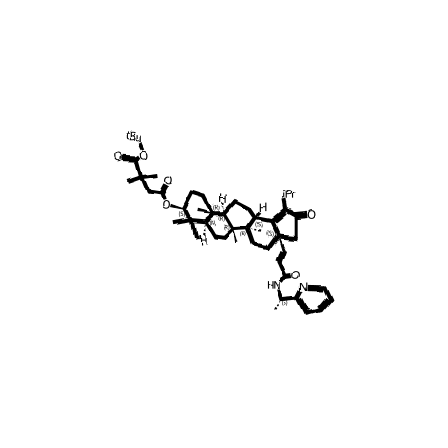 CC(C)C1=C2[C@H]3CC[C@@H]4[C@@]5(C)CC[C@H](OC(=O)CC(C)(C)C(=O)OC(C)(C)C)C(C)(C)[C@@H]5CC[C@@]4(C)[C@]3(C)CC[C@@]2(C=CC(=O)N[C@@H](C)c2ccccn2)CC1=O